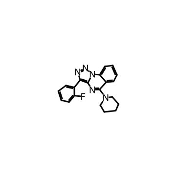 Fc1ccccc1-c1nnn2c1nc(N1CCCCC1)c1ccccc12